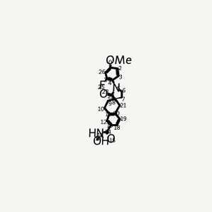 COc1ccc(N2CC[C@@]3(CCc4cc(C(=O)NO)ccc4C3)C2=O)c(F)c1